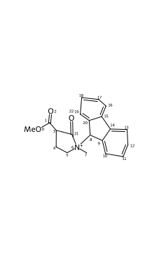 COC(=O)C1CC[N+](C)(C2c3ccccc3-c3ccccc32)C1=O